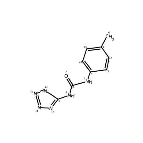 Cc1ccc(NC(=O)Nc2nnn[nH]2)cc1